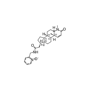 CN1C(=O)C=C[C@]2(C)[C@H]3CC[C@]4(C)[C@@H](CC(=O)NCc5cccc[n+]5[O-])CC[C@H]4[C@@H]3CC[C@@H]12